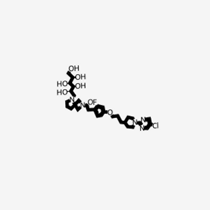 O=C(Cc1ccc(OCCCC2CCN(c3ncc(Cl)cn3)CC2)cc1F)N1CC2(CCCN2C[C@H](O)[C@@H](O)[C@H](O)[C@H](O)CO)C1